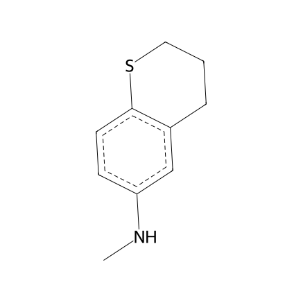 CNc1ccc2c(c1)CCCS2